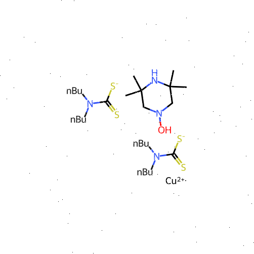 CC1(C)CN(O)CC(C)(C)N1.CCCCN(CCCC)C(=S)[S-].CCCCN(CCCC)C(=S)[S-].[Cu+2]